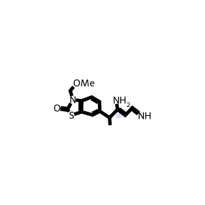 COCn1c(=O)sc2cc(C(C)/C(N)=C/C=N)ccc21